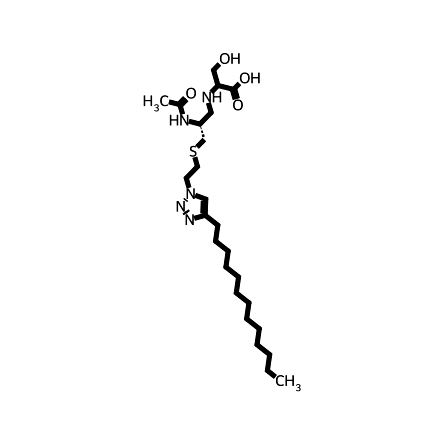 CCCCCCCCCCCCCc1cn(CCSC[C@@H](CNC(CO)C(=O)O)NC(C)=O)nn1